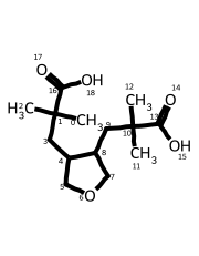 CC(C)(CC1COCC1CC(C)(C)C(=O)O)C(=O)O